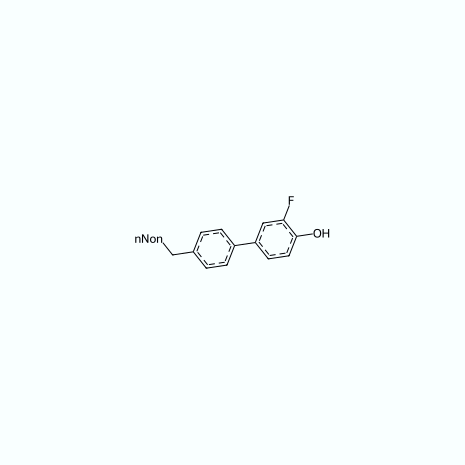 CCCCCCCCCCc1ccc(-c2ccc(O)c(F)c2)cc1